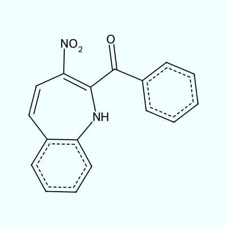 O=C(C1=C([N+](=O)[O-])C=Cc2ccccc2N1)c1ccccc1